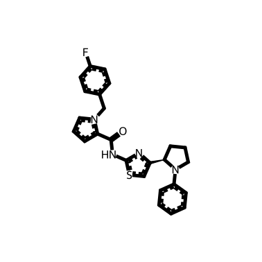 O=C(Nc1nc([C@H]2CCCN2c2ccccc2)cs1)c1cccn1Cc1ccc(F)cc1